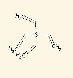 C=CS(C=C)(C=C)C=C